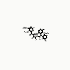 COc1ccc(C)cc1C(c1cc(C)ccc1OC)[C@H](C)OC(=O)[C@H](C)NC(=O)c1nccc(OC)c1OC(C)=O